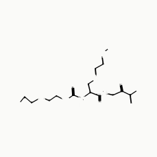 CCCOCCOC(=O)NC(CSCCOC)C(=O)NCC(=O)C(C)C